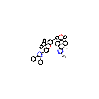 Cc1nnc(-c2cccc3c2-c2ccccc2C32c3ccccc3Oc3ccc(-c4ccc5c(c4)Oc4ccc(-c6nnc(-c7ccccc7)c(-c7ccccc7)n6)cc4C54c5ccccc5-c5ccccc54)cc32)c(C)n1